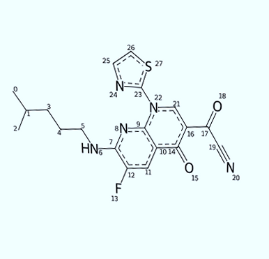 CC(C)CCCNc1nc2c(cc1F)c(=O)c(C(=O)C#N)cn2-c1nccs1